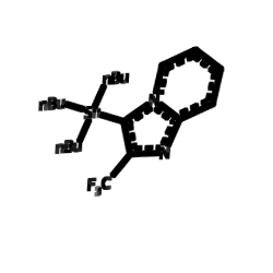 CCC[CH2][Sn]([CH2]CCC)([CH2]CCC)[c]1c(C(F)(F)F)nc2ccccn12